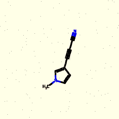 Cn1ccc(C#CC#N)c1